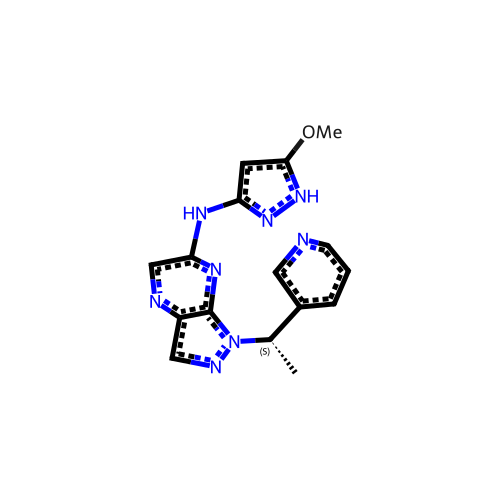 COc1cc(Nc2cnc3cnn([C@@H](C)c4cccnc4)c3n2)n[nH]1